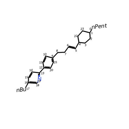 CCCCCC1CCC(C=CCCc2ccc(-c3ccc(CCCC)cn3)cc2)CC1